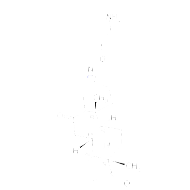 C[C@]12CC/C(=N\OCCN)CC1C(=O)C[C@@H]1[C@@H]2CC[C@]2(C)C(=O)CC[C@@H]12